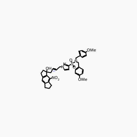 COc1ccc(CN(Cc2ccc(OC)cc2)S(=O)(=O)c2ccn(C/C=C/CC3(O)CCc4cc5c(c([N+](=O)[O-])c43)CCC5)n2)cc1